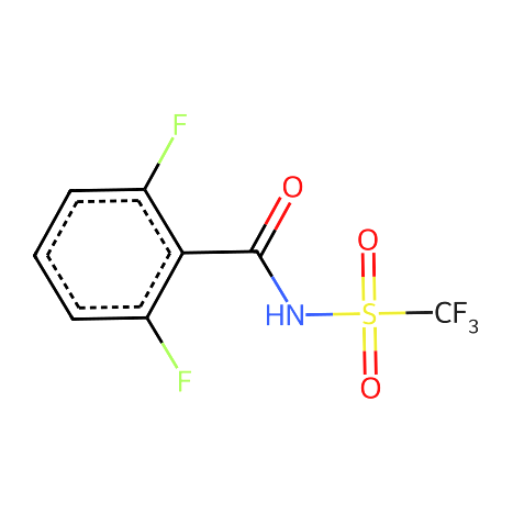 O=C(NS(=O)(=O)C(F)(F)F)c1c(F)cccc1F